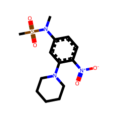 CN(c1ccc([N+](=O)[O-])c(N2CCCCC2)c1)S(C)(=O)=O